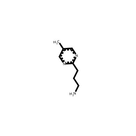 Cc1cnc(CCCN)nc1